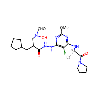 CC[C@H](Nc1nc(OC)nc(NNC(=O)C(CC2CCCC2)CN(O)C=O)c1F)C(=O)N1CCCC1